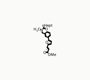 CCCCCCCC(=O)N(C)Cc1cccc(-c2ccc(/C=C/C(=O)OC)o2)c1